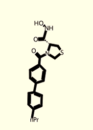 CCCc1ccc(-c2ccc(C(=O)N3CSC[C@H]3C(=O)NO)cc2)cc1